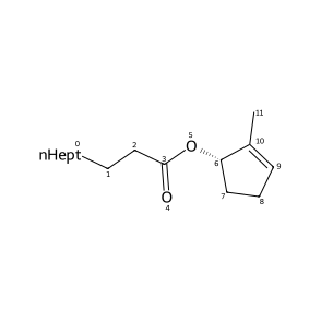 CCCCCCCCCC(=O)O[C@H]1CCC=C1C